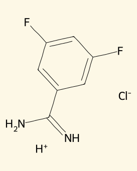 N=C(N)c1cc(F)cc(F)c1.[Cl-].[H+]